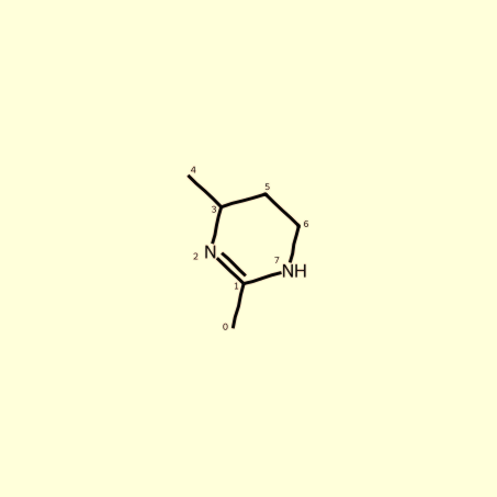 CC1=NC(C)CCN1